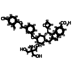 NC(CO)(CO)CO.O=C(O)c1ccc2nc(CN3CCC(Oc4cccc(COc5ccc(Cl)cc5F)n4)CC3)n(C[C@@H]3CCO3)c2c1